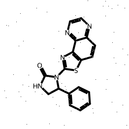 O=C1NCC(c2ccccc2)N1c1nc2c(ccc3nccnc32)s1